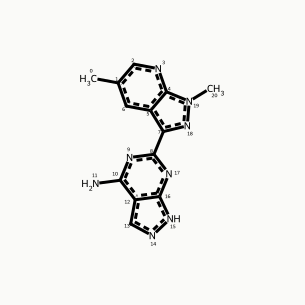 Cc1cnc2c(c1)c(-c1nc(N)c3cn[nH]c3n1)nn2C